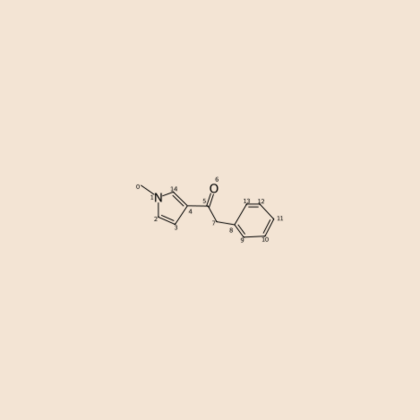 Cn1ccc(C(=O)Cc2ccccc2)c1